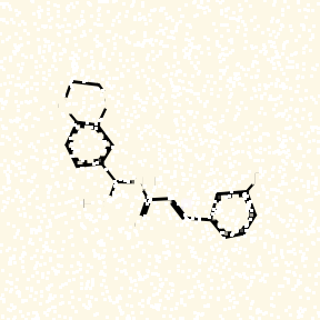 CC(NC(=O)/C=C/c1cccc(F)c1)c1ccc2c(c1)OCCO2